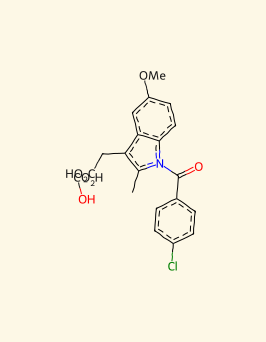 COc1ccc2c(c1)c(CC(=O)O)c(C)n2C(=O)c1ccc(Cl)cc1.O=C(O)O